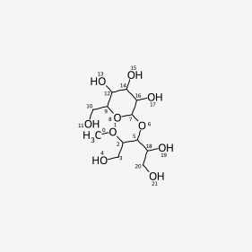 COC(CO)C(OC1OC(CO)C(O)C(O)C1O)C(O)CO